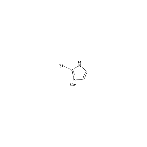 CCc1ncc[nH]1.[Cu]